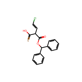 O=C(OC(c1ccccc1)c1ccccc1)C(C=CCl)C(O)=S